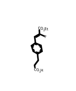 CCOC(=O)C(F)=Cc1ccc(CCC(=O)O)cc1